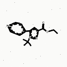 CCOC(=O)c1cc(-c2ccncc2)n(C(C)(C)C)n1